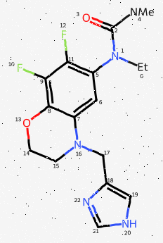 CCN(C(=O)NC)c1cc2c(c(F)c1F)OCCN2Cc1c[nH]cn1